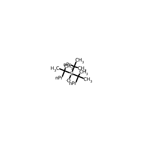 CCCC(C)(C)[Si]([O])(C(C)(C)CCC)C(C)(C)CCC